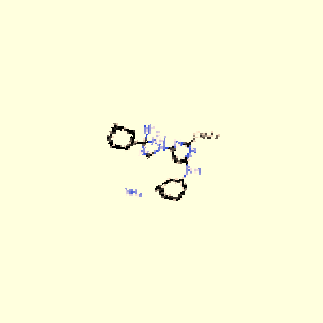 COc1nc(Nc2ccccc2)cc(N2C=NC(N)(c3ccccc3)N2)n1.N